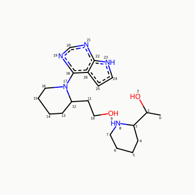 CC(O)C1CCCCN1.OCCC1CCCCN1c1ncnc2[nH]ccc12